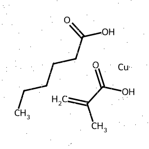 C=C(C)C(=O)O.CCCCCC(=O)O.[Cu]